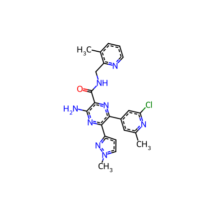 Cc1cc(-c2nc(C(=O)NCc3ncccc3C)c(N)nc2-c2ccn(C)n2)cc(Cl)n1